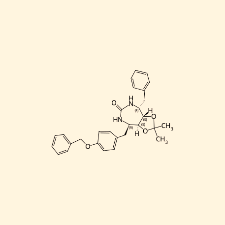 CC1(C)O[C@@H]2[C@@H](O1)[C@@H](Cc1ccc(OCc3ccccc3)cc1)NC(=O)N[C@@H]2Cc1ccccc1